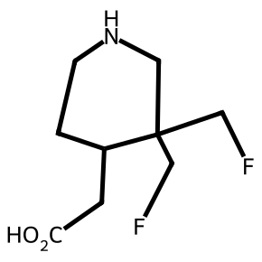 O=C(O)CC1CCNCC1(CF)CF